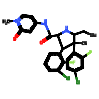 Cn1ccc(NC(=O)C2NC(CC(C)(C)C)C(C#N)(c3ccc(Cl)cc3F)C2c2cccc(Cl)c2F)cc1=O